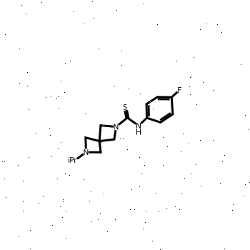 CC(C)N1CC2(CN(C(=S)Nc3ccc(F)cc3)C2)C1